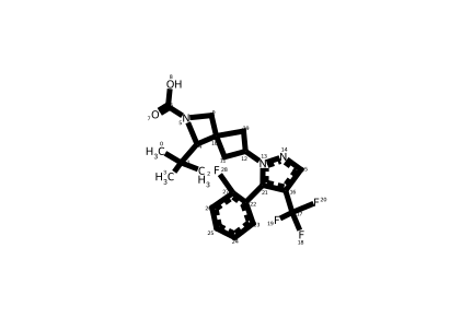 CC(C)(C)C1N(C(=O)O)CC12CC(n1ncc(C(F)(F)F)c1-c1ccccc1F)C2